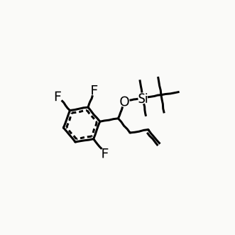 C=CCC(O[Si](C)(C)C(C)(C)C)c1c(F)ccc(F)c1F